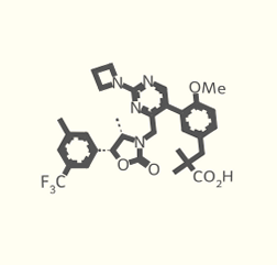 COc1ccc(CC(C)(C)C(=O)O)cc1-c1cnc(N2CCC2)nc1CN1C(=O)O[C@H](c2cc(C)cc(C(F)(F)F)c2)[C@@H]1C